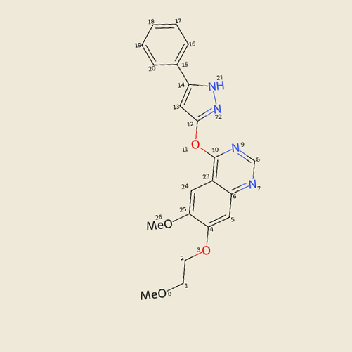 COCCOc1cc2ncnc(Oc3cc(-c4ccccc4)[nH]n3)c2cc1OC